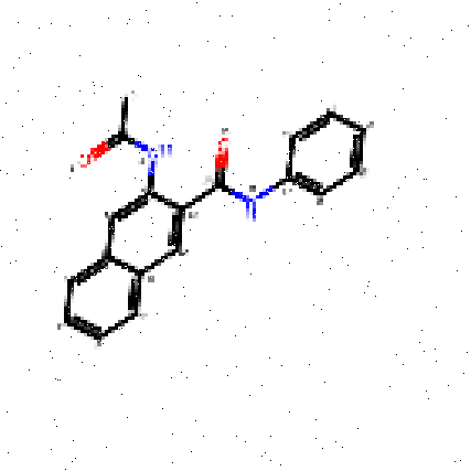 CC(=O)Nc1cc2ccccc2cc1C(=O)Nc1ccccc1